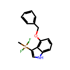 CS(F)(F)c1c[nH]c2cccc(OCc3ccccc3)c12